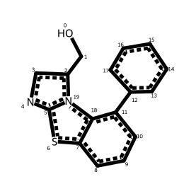 OCc1cnc2sc3cccc(-c4ccccc4)c3n12